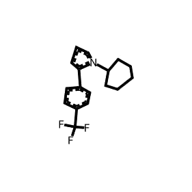 FC(F)(F)c1ccc(-c2cccn2C2CCCCC2)cc1